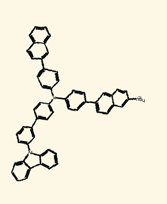 CCCCc1ccc2cc(-c3ccc(N(c4ccc(-c5cccc(-n6c7ccccc7c7ccccc76)c5)cc4)c4ccc(-c5ccc6ccccc6c5)cc4)cc3)ccc2c1